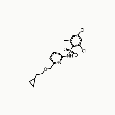 Cc1cc(Cl)cc(Cl)c1S(=O)(=O)Nc1cccc(COCCC2CC2)n1